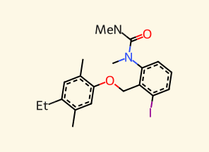 CCc1cc(C)c(OCc2c(I)cccc2N(C)C(=O)NC)cc1C